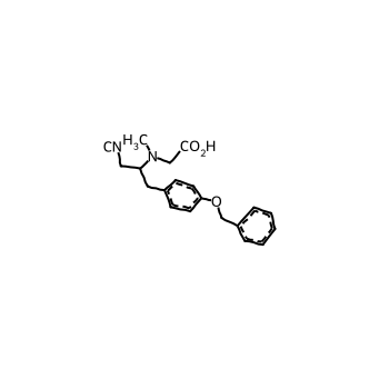 CN(CC(=O)O)C(CC#N)Cc1ccc(OCc2ccccc2)cc1